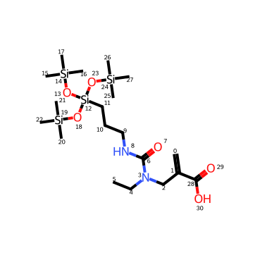 C=C(CN(CC)C(=O)NCCC[Si](O[Si](C)(C)C)(O[Si](C)(C)C)O[Si](C)(C)C)C(=O)O